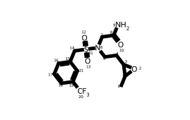 CC1OC1CCN(CC(N)=O)S(=O)(=O)Cc1cccc(C(F)(F)F)c1